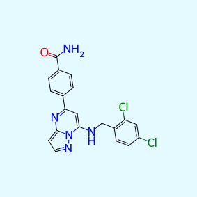 NC(=O)c1ccc(-c2cc(NCc3ccc(Cl)cc3Cl)n3nccc3n2)cc1